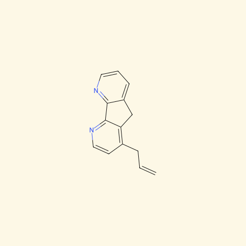 C=CCc1ccnc2c1Cc1cccnc1-2